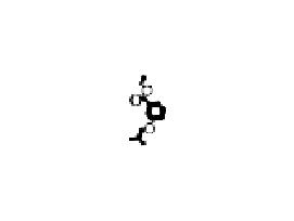 CCOC(=O)c1cccc(OC=C(C)C)c1